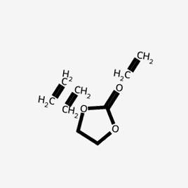 C=C.C=C.C=C.O=C1OCCO1